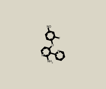 Nc1nccc(Oc2ccc(N=O)cc2F)c1-c1ccccn1